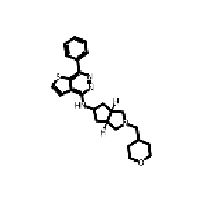 c1ccc(-c2nnc(NC3C[C@@H]4CN(CC5CCOCC5)C[C@@H]4C3)c3ccsc23)cc1